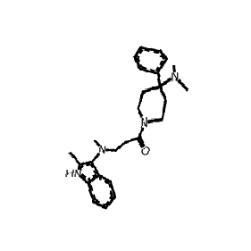 Cc1[nH]c2ccccc2c1N(C)CCC(=O)N1CCC(c2ccccc2)(N(C)C)CC1